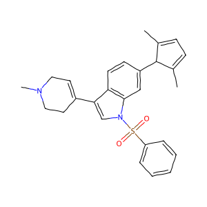 CC1=CC=C(C)C1c1ccc2c(C3=CCN(C)CC3)cn(S(=O)(=O)c3ccccc3)c2c1